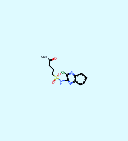 COC(=O)CCCS(=O)(=O)Nc1nc2ccccc2nc1Cl